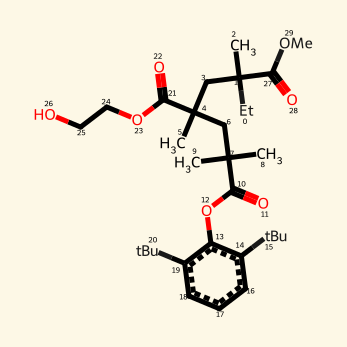 CCC(C)(CC(C)(CC(C)(C)C(=O)Oc1c(C(C)(C)C)cccc1C(C)(C)C)C(=O)OCCO)C(=O)OC